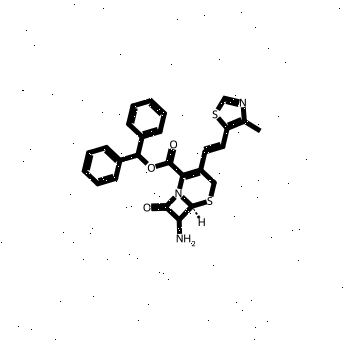 Cc1ncsc1C=CC1=C(C(=O)OC(c2ccccc2)c2ccccc2)N2C(=O)C(N)[C@@H]2SC1